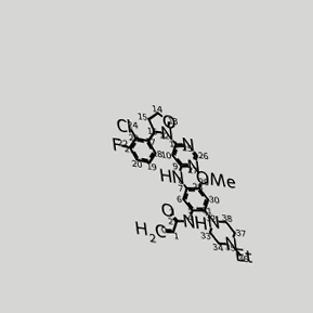 C=CC(=O)Nc1cc(Nc2cc(N3OCCC3c3cccc(F)c3Cl)ncn2)c(OC)cc1N1CCN(CC)CC1